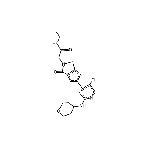 CCNC(=O)CN1Cc2sc(-c3nc(NC4CCOCC4)ncc3Cl)cc2C1=O